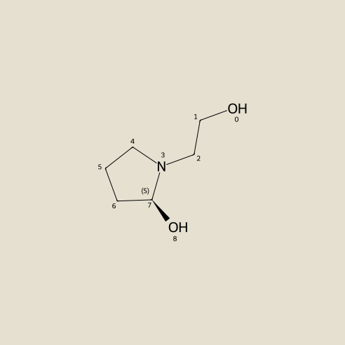 OCCN1CCC[C@@H]1O